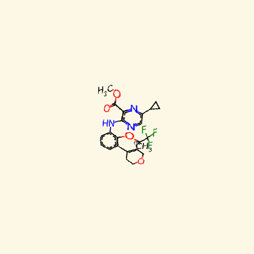 COC(=O)c1nc(C2CC2)cnc1Nc1cccc(C2=CCOCC2)c1O[C@@H](C)C(F)(F)F